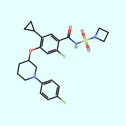 O=C(NS(=O)(=O)N1CCC1)c1cc(C2CC2)c(OC2CCCN(c3ccc(F)cc3)C2)cc1F